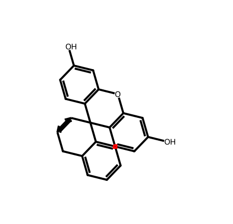 Oc1ccc2c(c1)Oc1cc(O)ccc1C21c2ccccc2Cc2ccccc21